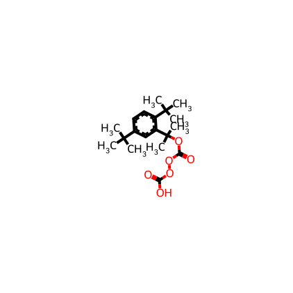 CC(C)(C)c1ccc(C(C)(C)C)c(C(C)(C)OC(=O)OOC(=O)O)c1